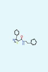 O=C(NCCc1ccccc1)c1s[c]nc1-c1ccccc1